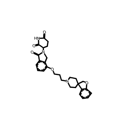 O=C1CCC(N2Cc3c(OCCCN4CCC5(CC4)COc4ccccc45)cccc3C2=O)C(=O)N1